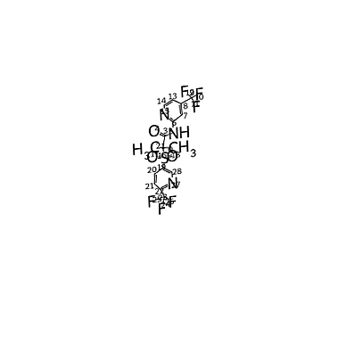 CC(C)(C(=O)Nc1cc(C(F)(F)F)ccn1)S(=O)(=O)c1ccc(C(F)(F)F)nc1